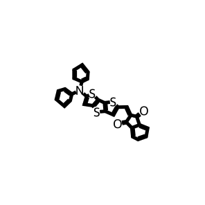 O=C1C(=Cc2cc3sc4cc(N(c5ccccc5)c5ccccc5)sc4c3s2)C(=O)c2ccccc21